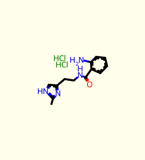 Cc1nc(CCNC(=O)c2ccccc2N)c[nH]1.Cl.Cl